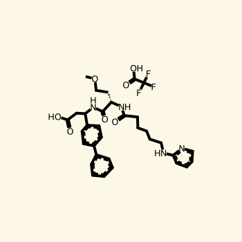 COCC[C@H](NC(=O)CCCCCNc1ccccn1)C(=O)NC(CC(=O)O)c1ccc(-c2ccccc2)cc1.O=C(O)C(F)(F)F